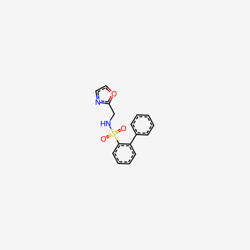 O=S(=O)(NCc1ncco1)c1ccccc1-c1ccccc1